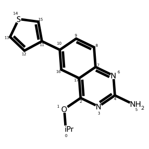 CC(C)Oc1nc(N)nc2ccc(-c3ccsc3)cc12